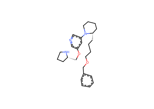 c1ccc(COCCCC[C@H]2CCCCN2c2cncc(OC[C@@H]3CCCN3)c2)cc1